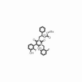 Cc1c(-c2cccc(O)c2F)c(=O)n(CC(NC(=O)OC(C)(C)C)c2ccccc2)c(=O)n1Cc1c(F)cccc1F